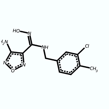 Cc1ccc(CN/C(=N/O)c2nonc2N)cc1Cl